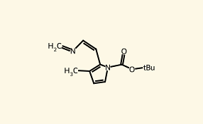 C=N/C=C\c1c(C)ccn1C(=O)OC(C)(C)C